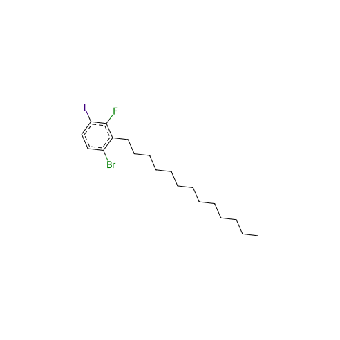 CCCCCCCCCCCCCc1c(Br)ccc(I)c1F